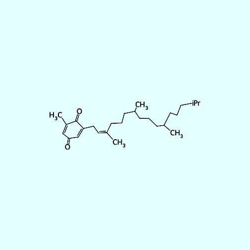 CC(=CCC1=CC(=O)C=C(C)C1=O)CCCC(C)CCCC(C)CCCC(C)C